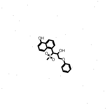 CS(=O)(=O)C(c1cccc2c(O)cccc12)C(O)COc1ccccc1